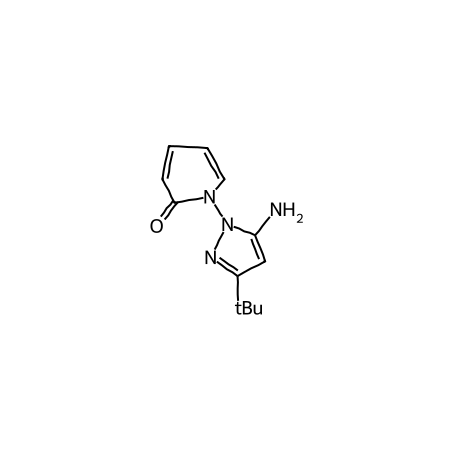 CC(C)(C)c1cc(N)n(-n2ccccc2=O)n1